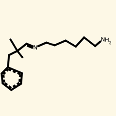 CC(C)(C=NCCCCCCN)Cc1ccccc1